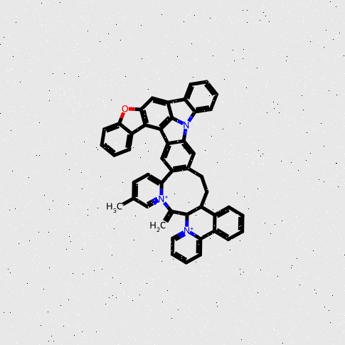 C=C1C2C(CCc3cc4c(cc3-c3ccc(C)c[n+]31)c1c3c(cc5c6ccccc6n4c51)oc1ccccc13)c1ccccc1-c1cccc[n+]12